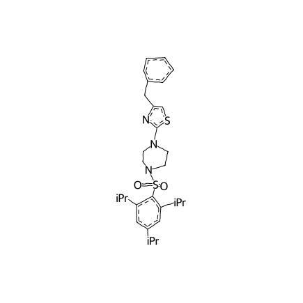 CC(C)c1cc(C(C)C)c(S(=O)(=O)N2CCN(c3nc(Cc4ccccc4)cs3)CC2)c(C(C)C)c1